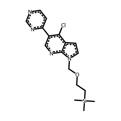 C[Si](C)(C)CCOCn1ccc2c(Cl)c(-c3ccncn3)cnc21